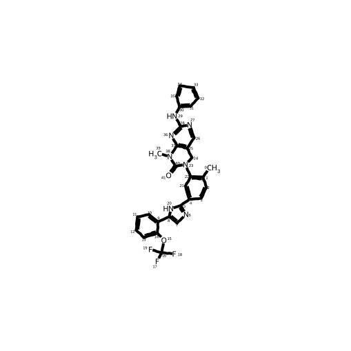 Cc1ccc(-c2ncc(-c3ccccc3OC(F)(F)F)[nH]2)cc1N1Cc2cnc(Nc3ccccc3)nc2N(C)C1=O